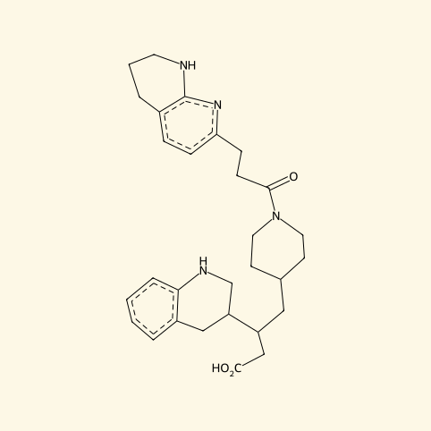 O=C(O)CC(CC1CCN(C(=O)CCc2ccc3c(n2)NCCC3)CC1)C1CNc2ccccc2C1